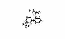 NC(=O)Cc1ccccc1-c1cccc(C(F)(F)F)c1